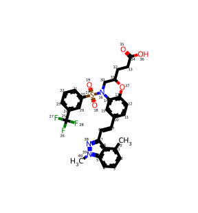 Cc1cccc2c1c(C=Cc1ccc3c(c1)N(S(=O)(=O)c1cccc(C(F)(F)F)c1)CC(CCC(=O)O)O3)nn2C